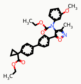 CCOC(=O)N(c1cccc(OC)c1)c1c(C)noc1-c1ccc(-c2ccc(C3(C(=O)OCC)CC3)cc2)cc1